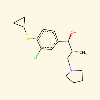 C[C@H](CN1CCCC1)[C@H](O)c1ccc(SC2CC2)c(Cl)c1